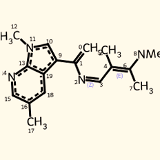 C=C(/N=C\C(C)=C(/C)NC)c1cn(C)c2ncc(C)cc12